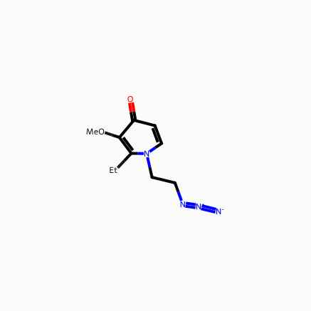 CCc1c(OC)c(=O)ccn1CCN=[N+]=[N-]